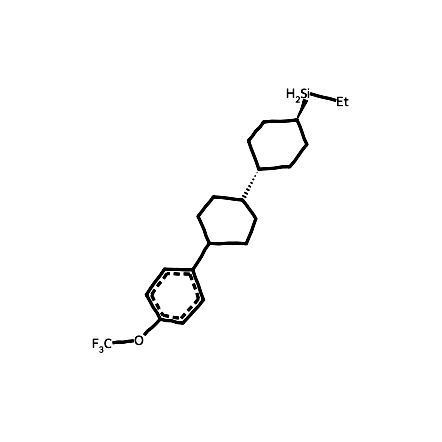 CC[SiH2][C@H]1CC[C@H](C2CCC(c3ccc(OC(F)(F)F)cc3)CC2)CC1